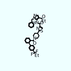 CCC(=O)c1cnn(Cc2ccccc2)c1NC(=O)c1csc(C2CCN(C(=O)c3ccccc3-c3ccc(C(F)(F)CC)cc3)CC2)n1